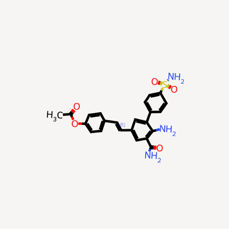 CC(=O)Oc1ccc(/C=C/c2cc(C(N)=O)c(N)c(-c3ccc(S(N)(=O)=O)cc3)c2)cc1